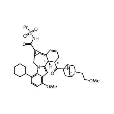 COCCN1CC2CCC1CN2C(=O)[C@@H]1CC=CC2=C3C(=C3C(=O)NS(=O)(=O)C(C)C)Cn3c(cc4c(OC)ccc(C5CCCCC5)c43)[C@H]21